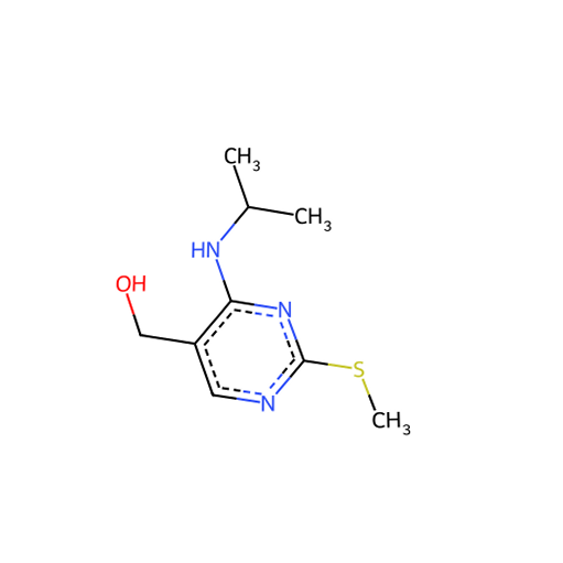 CSc1ncc(CO)c(NC(C)C)n1